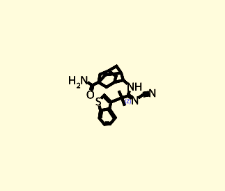 CC(C)(/C(=N/C#N)NC1C2CC3CC1CC(C(N)=O)(C3)C2)c1csc2ccccc12